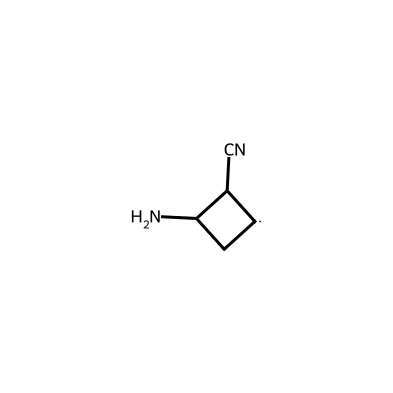 N#CC1[CH]CC1N